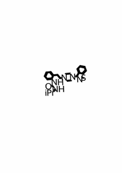 CC(C)NC(=O)Nc1ccccc1CCN1CCN(c2nsc3ccccc23)CC1